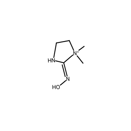 C[N+]1(C)CCNC1=NO